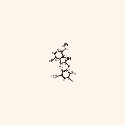 Cc1cc(N)c(=O)n(Cc2nc3c(F)cnc(CC(C)C)c3[nH]2)c1C